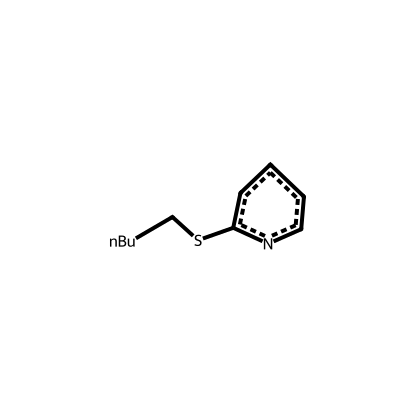 [CH2]CCCCSc1ccccn1